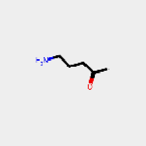 [CH2]C(=O)CCCN